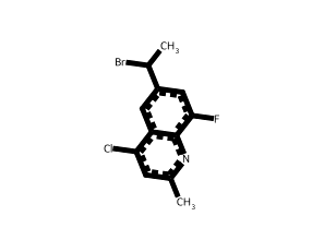 Cc1cc(Cl)c2cc(C(C)Br)cc(F)c2n1